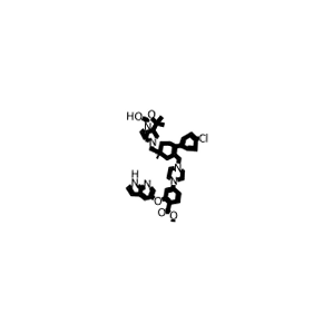 COC(=O)c1ccc(N2CCN(CC3=C(c4ccc(Cl)cc4)CC[C@@](C)(CN4CC5(C(C)(C)C)CC4CN5C(=O)O)C3)CC2)cc1Oc1cnc2[nH]ccc2c1